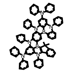 CC1(C)C2=C(c3ccccc31)N(c1ccccc1)c1cc(N(c3ccccc3)c3ccccc3)cc3c1B2c1cc2c(cc1N3c1ccccc1)N(c1ccccc1)c1cc(N(c3ccccc3)c3ccccc3)cc3c1B2c1ccccc1N3c1ccccc1